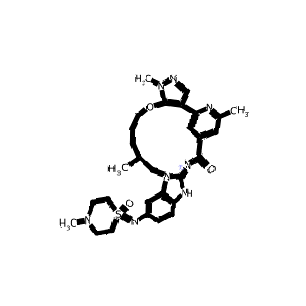 Cc1cc2cc(n1)-c1cnn(C)c1OCCCC(C)CN1/C(=N/C2=O)Nc2ccc(N=S3(=O)CCN(C)CC3)cc21